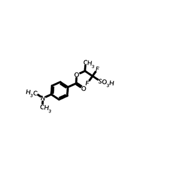 CC(OC(=O)c1ccc(N(C)C)cc1)C(F)(F)S(=O)(=O)O